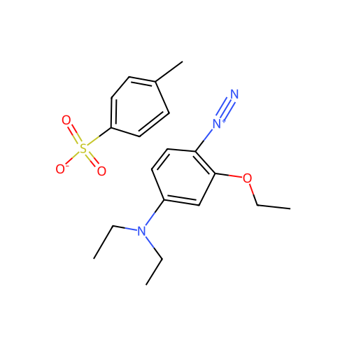 CCOc1cc(N(CC)CC)ccc1[N+]#N.Cc1ccc(S(=O)(=O)[O-])cc1